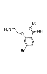 CCOC(=N)c1ccc(Br)cc1OCCN